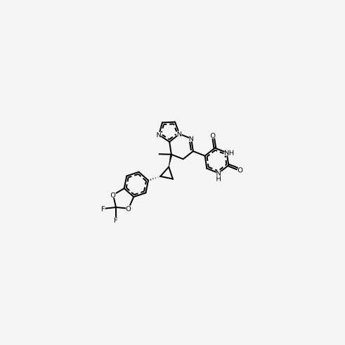 CC1([C@H]2C[C@@H]2c2ccc3c(c2)OC(F)(F)O3)CC(c2c[nH]c(=O)[nH]c2=O)=Nn2ccnc21